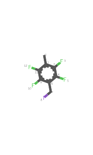 Cc1c(F)c(F)c(CI)c(F)c1F